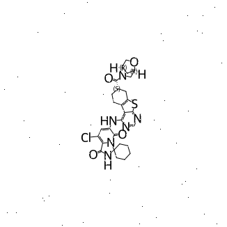 O=C1NC2(CCCCC2)n2c1c(Cl)cc(Nc1ncnc3sc4c(c13)CC[C@H](C(=O)N1C[C@H]3C[C@@H]1CO3)C4)c2=O